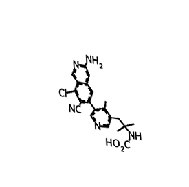 Cc1c(CC(C)(C)NC(=O)O)cncc1-c1cc2cc(N)ncc2c(Cl)c1C#N